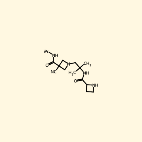 CC(C)NC(=O)C1(C#N)CN(CC(C)(C)NC(=O)C2CCN2)C1